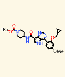 COc1ccc(-c2ncnc3c(C(=O)NC4CCN(C(=O)OC(C)(C)C)CC4)c[nH]c23)c(OCC2CC2)c1